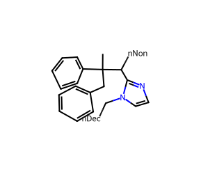 CCCCCCCCCCCn1ccnc1C(CCCCCCCCC)C(C)(Cc1ccccc1)c1ccccc1